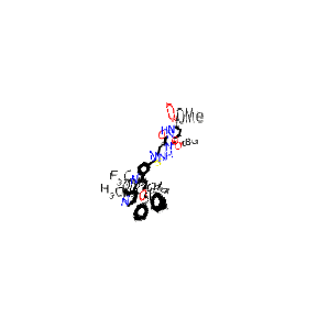 COC(=O)[C@@H]1CCCN(C(=O)[C@H](Cc2nsc(-c3ccc4c(c3)c(CC(C)(C)O[Si](c3ccccc3)(c3ccccc3)C(C)(C)C)c(-c3cccnc3[C@H](C)OC)n4CC(F)(F)F)n2)NC(=O)OC(C)(C)C)N1